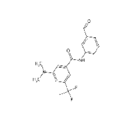 CN(C)c1cc(C(=O)Nc2cccc(C=O)c2)cc(C(F)(F)F)c1